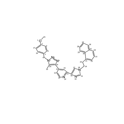 COc1ccc(Cn2nnc(-c3ccnc(-c4cn(CCc5cccc6ccccc56)cn4)c3)c2C)cc1